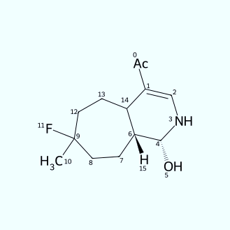 CC(=O)C1=CN[C@H](O)[C@@H]2CCC(C)(F)CCC12